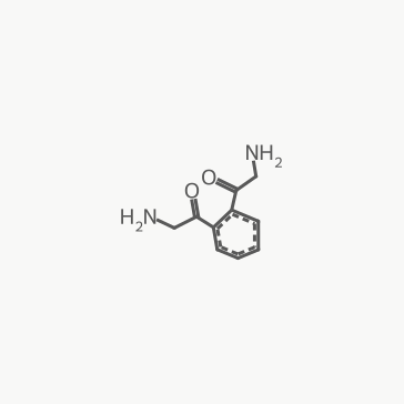 NCC(=O)c1ccccc1C(=O)CN